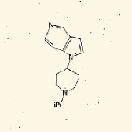 CC(C)N1CCC(n2ccc3cnccc32)CC1